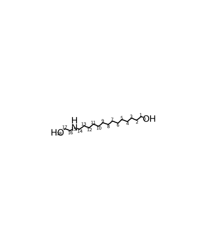 OCCCCCCCCCCCCCCNCCO